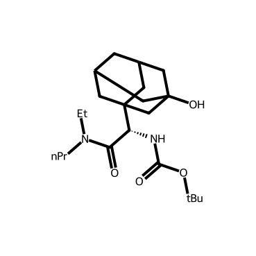 CCCN(CC)C(=O)[C@@H](NC(=O)OC(C)(C)C)C12CC3CC(CC(O)(C3)C1)C2